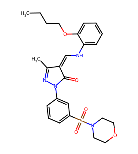 CCCCOc1ccccc1NC=C1C(=O)N(c2cccc(S(=O)(=O)N3CCOCC3)c2)N=C1C